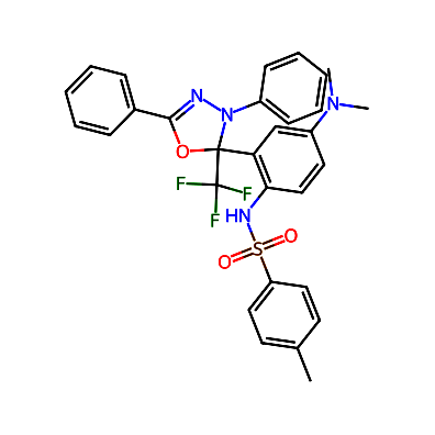 Cc1ccc(S(=O)(=O)Nc2ccc(N(C)C)cc2C2(C(F)(F)F)OC(c3ccccc3)=NN2c2ccccc2)cc1